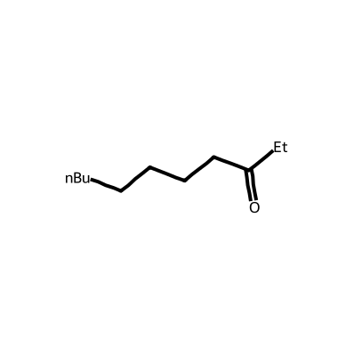 [CH2]CC(=O)CCCCCCCC